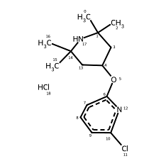 CC1(C)CC(Oc2cccc(Cl)n2)CC(C)(C)N1.Cl